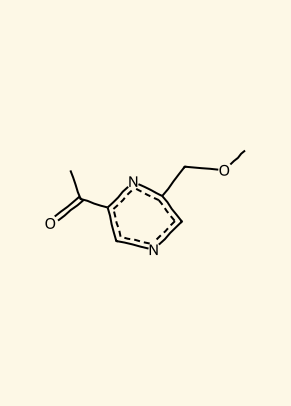 COCc1cncc(C(C)=O)n1